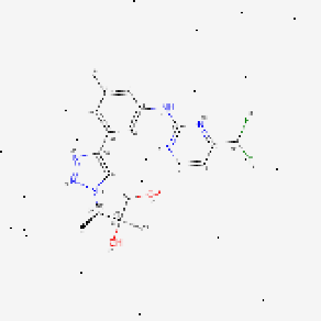 Cc1cc(Nc2nccc(C(F)F)n2)cc(-c2cn([C@H](C)[C@](C)(O)CO)nn2)c1